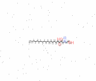 CC(C)CCCCCCCCCCCCCCCC(=O)C(O)CNCCO